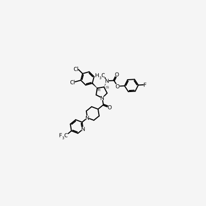 CN(C(=O)Oc1ccc(F)cc1)[C@@H]1CN(C(=O)C2CCN(c3ccc(C(F)(F)F)cn3)CC2)C[C@H]1c1ccc(Cl)c(Cl)c1